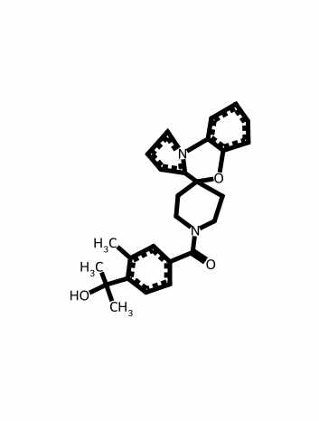 Cc1cc(C(=O)N2CCC3(CC2)Oc2ccccc2-n2cccc23)ccc1C(C)(C)O